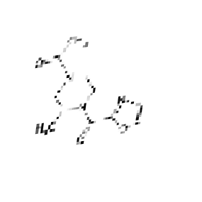 CC(=O)N1CCN(C(=O)c2ncco2)C(C)C1